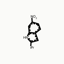 CC(C)c1cc2ccc([N+](=O)[O-])cc2[nH]1